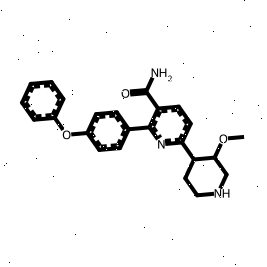 COC1CNCCC1c1ccc(C(N)=O)c(-c2ccc(Oc3ccccc3)cc2)n1